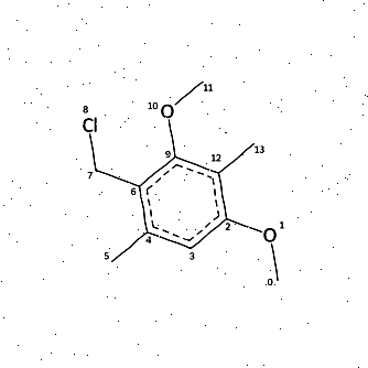 COc1cc(C)c(CCl)c(OC)c1C